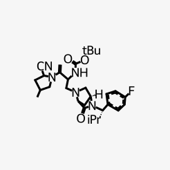 C=C(C(CN1C[C@@H]2CC1C(=O)N2[C@H](c1ccc(F)cc1)C(C)C)NC(=O)OC(C)(C)C)N1CC(C)CC1C#N